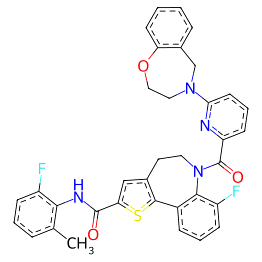 Cc1cccc(F)c1NC(=O)c1cc2c(s1)-c1cccc(F)c1N(C(=O)c1cccc(N3CCOc4ccccc4C3)n1)CC2